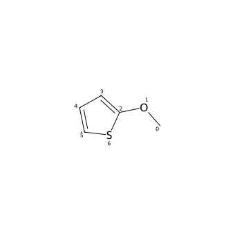 COc1cc[c]s1